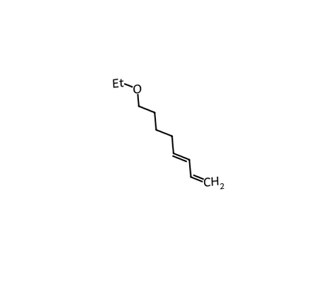 C=CC=CCCCCOCC